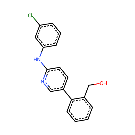 OCc1ccccc1-c1ccc(Nc2cccc(Cl)c2)nc1